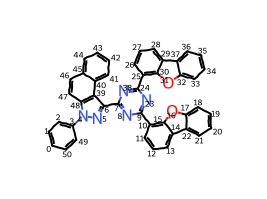 c1ccc(-n2nc(-c3nc(-c4cccc5c4oc4ccccc45)nc(-c4cccc5c4oc4ccccc45)n3)c3c4ccccc4ccc32)cc1